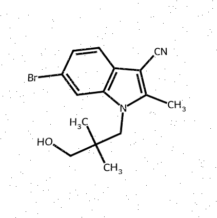 Cc1c(C#N)c2ccc(Br)cc2n1CC(C)(C)CO